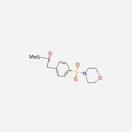 CSC(=O)Cc1ccc(S(=O)(=O)N2CCOCC2)cc1